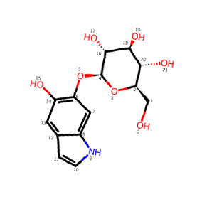 OC[C@H]1O[C@@H](Oc2cc3[nH]ccc3cc2O)[C@H](O)[C@@H](O)[C@@H]1O